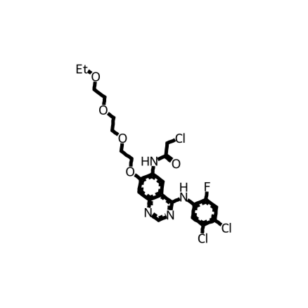 CCOCCOCCOCCOc1cc2ncnc(Nc3cc(Cl)c(Cl)cc3F)c2cc1NC(=O)CCl